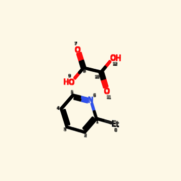 CCc1ccccn1.O=C(O)C(=O)O